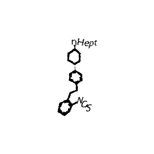 CCCCCCC[C@H]1CC[C@H](c2ccc(CCc3ccccc3N=C=S)cc2)CC1